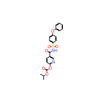 CC(C)OC(=O)Oc1ccc(C(=O)NS(=O)(=O)c2ccc(Oc3ccccc3)cc2)cn1